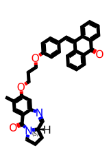 Cc1cc2c(cc1OCCCOc1ccc(C=C3c4ccccc4C(=O)c4ccccc43)cc1)N=C[C@@H]1CCCN1C2=O